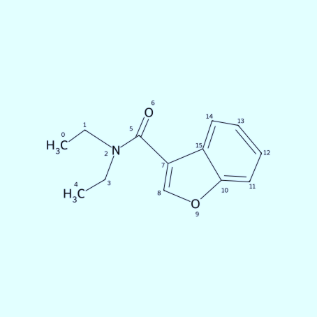 CCN(CC)C(=O)c1coc2ccccc12